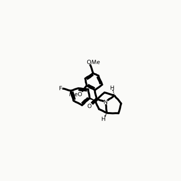 COc1ccc(C(=O)N2[C@@H]3CC[C@H]2C[C@@H](c2ccc(F)cc2)C3)c(OC)c1